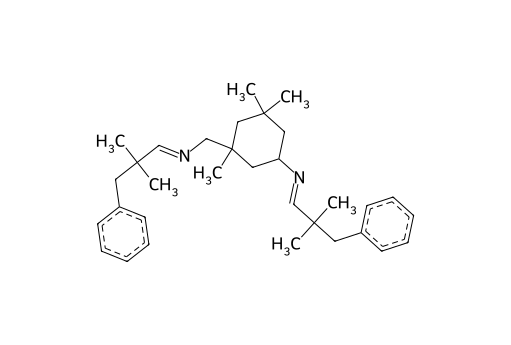 CC(C)(C=NCC1(C)CC(N=CC(C)(C)Cc2ccccc2)CC(C)(C)C1)Cc1ccccc1